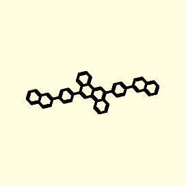 c1ccc2cc(-c3ccc(-c4cc5c6ccccc6c(-c6ccc(-c7ccc8ccccc8c7)cc6)cc5c5ccccc45)cc3)ccc2c1